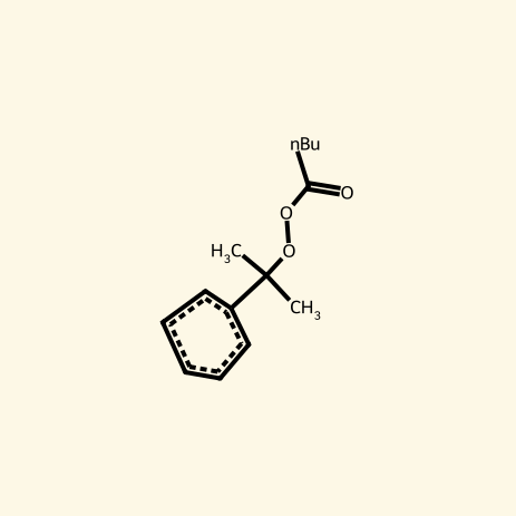 CCCCC(=O)OOC(C)(C)c1ccccc1